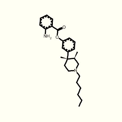 CCCCCCN1CC[C@](C)(c2cccc(OC(=O)c3ccccc3N)c2)[C@@H](C)C1